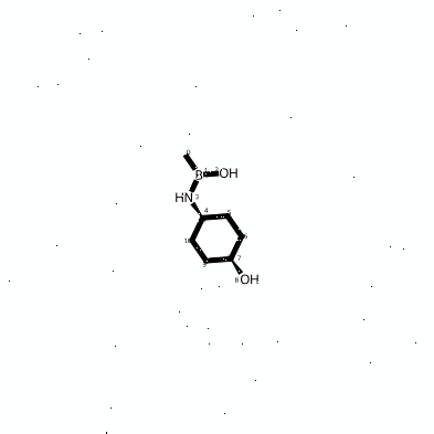 CB(O)N[C@H]1CC[C@@H](O)CC1